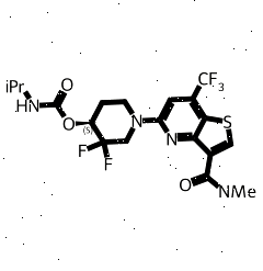 CNC(=O)c1csc2c(C(F)(F)F)cc(N3CC[C@H](OC(=O)NC(C)C)C(F)(F)C3)nc12